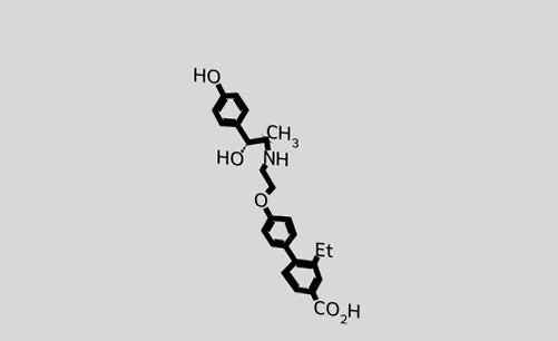 CCc1cc(C(=O)O)ccc1-c1ccc(OCCN[C@H](C)[C@H](O)c2ccc(O)cc2)cc1